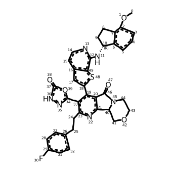 COc1cccc2c1CC[C@H]2Nc1nccc2cc(-c3c4c(nc(CCc5ccc(F)cc5)c3-c3n[nH]c(=O)o3)C3COCCN3C4=O)sc12